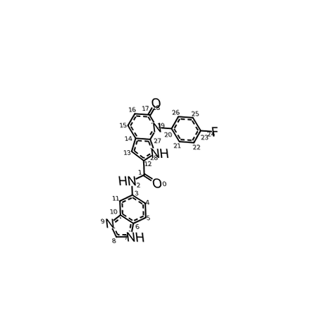 O=C(Nc1ccc2[nH]cnc2c1)c1cc2ccc(=O)n(-c3ccc(F)cc3)c2[nH]1